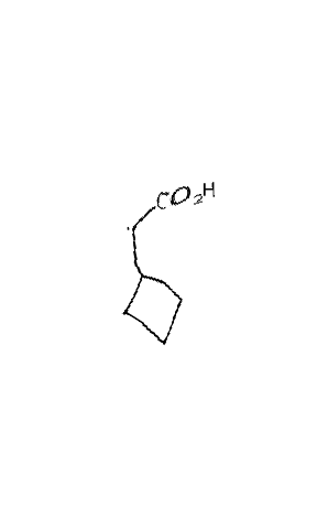 O=C(O)[CH]C1CCC1